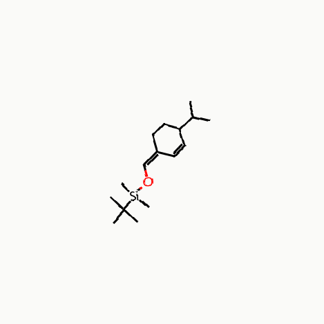 CC(C)C1C=C/C(=C\O[Si](C)(C)C(C)(C)C)CC1